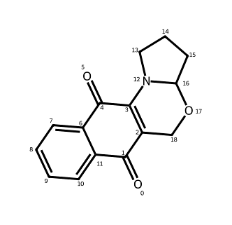 O=C1C2=C(C(=O)c3ccccc31)N1CCCC1OC2